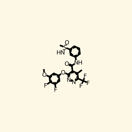 COc1cc(Oc2nnc(C(F)(F)F)c(C)c2C(=O)Nc2cccc(S(C)(=N)=O)c2)cc(F)c1F